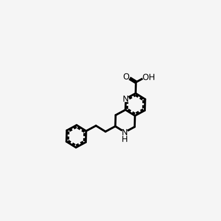 O=C(O)c1ccc2c(n1)CC(CCc1ccccc1)NC2